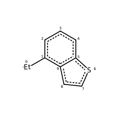 C[CH]c1cccc2sccc12